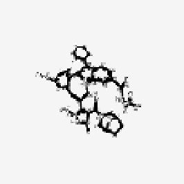 COc1ccc2c(c1)C=C(c1c(C(=O)N3CC4CCC(C3)O4)c(C)nn1C(C)C)Cn1c-2c(C2CCCCC2)c2ccc(C(=O)NS(=O)(=O)C(C)C)cc21